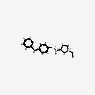 CCN1CCC(NOc2ccc(Cc3ccccc3)cc2)C1